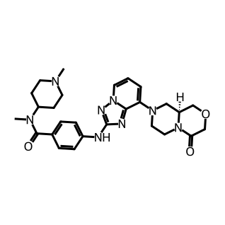 CN1CCC(N(C)C(=O)c2ccc(Nc3nc4c(N5CCN6C(=O)COC[C@@H]6C5)cccn4n3)cc2)CC1